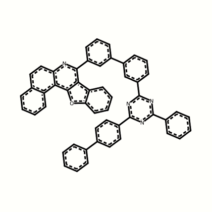 c1ccc(-c2ccc(-c3nc(-c4ccccc4)nc(-c4cccc(-c5cccc(-c6nc7ccc8ccccc8c7c7oc8ccccc8c67)c5)c4)n3)cc2)cc1